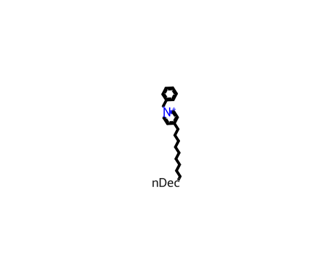 CCCCCCCCCCCCCCCCCCCc1cc[n+](Cc2ccccc2)cc1